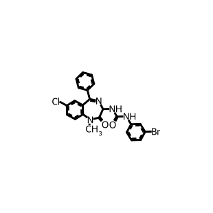 CN1C(=O)C(NC(=O)Nc2cccc(Br)c2)N=C(c2ccccc2)c2cc(Cl)ccc21